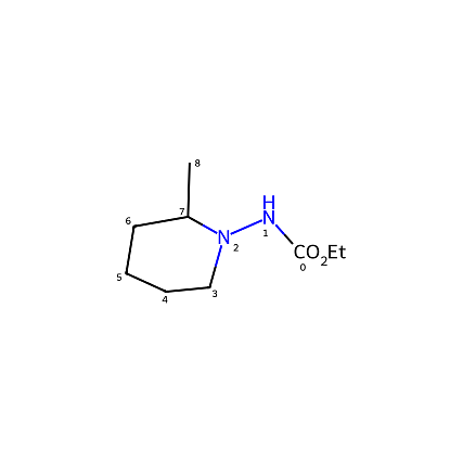 CCOC(=O)NN1CCCCC1C